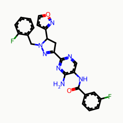 Nc1nc(C2=NN(Cc3ccccc3F)C(c3ccon3)C2)ncc1NC(=O)c1cccc(F)c1